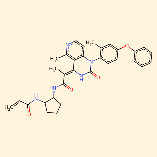 C=CC(=O)NC1CCC[C@H]1NC(=O)/C(C)=C1\NC(=O)N(c2ccc(Oc3ccccc3)cc2C)c2ccnc(C)c21